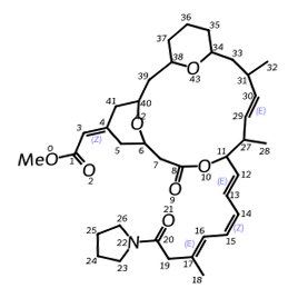 COC(=O)/C=C1\CC2CC(=O)OC(/C=C/C=C\C=C(/C)CC(=O)N3CCCC3)C(C)/C=C/C(C)CC3CCCC(CC(C1)O2)O3